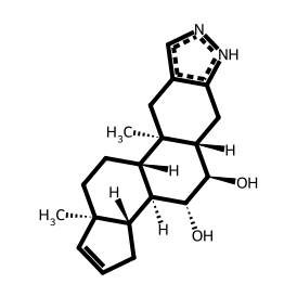 C[C@]12Cc3cn[nH]c3C[C@@H]1[C@@H](O)[C@H](O)[C@@H]1[C@@H]2CC[C@]2(C)C=CC[C@@H]12